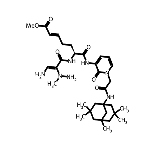 COC(=O)/C=C/CC[C@H](NC(=O)/C(=C/N)N(C)N)C(=O)Nc1cccn(CC(=O)NC23CC(C)(C)CC(C)(CC(C)(C)C2)C3)c1=O